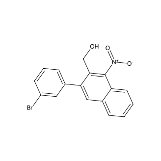 O=[N+]([O-])c1c(CO)c(-c2cccc(Br)c2)cc2ccccc12